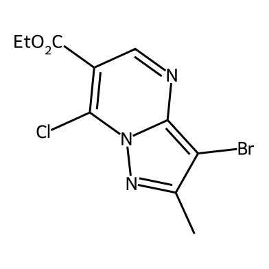 CCOC(=O)c1cnc2c(Br)c(C)nn2c1Cl